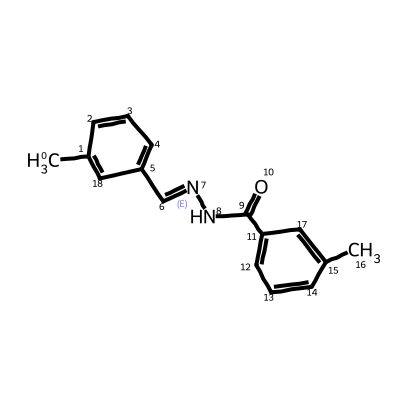 Cc1cccc(/C=N/NC(=O)c2cccc(C)c2)c1